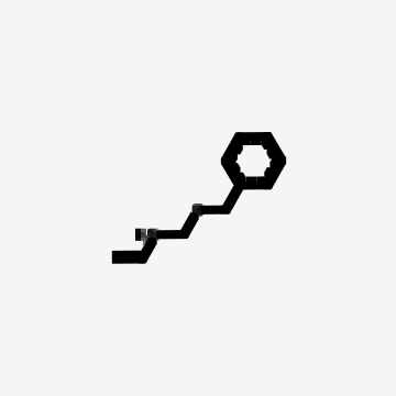 C=C[SiH2]COCc1ccccc1